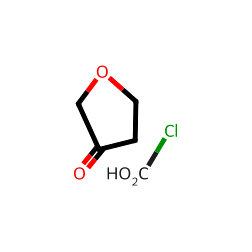 O=C(O)Cl.O=C1CCOC1